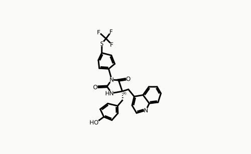 O=C1N[C@](Cc2ccc(O)cc2)(Cc2ccnc3ccccc23)C(=O)N1c1ccc(SC(F)(F)F)cc1